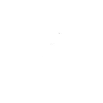 CCCC1CCC(O)(C2(OC3CCCCO3)CCC(CCC)CC2)CC1